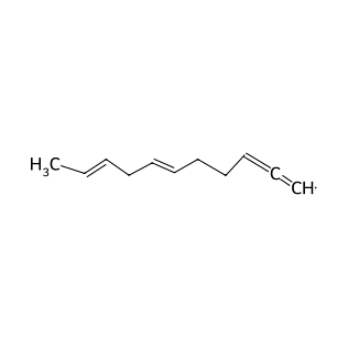 [CH]=C=CCCC=CCC=CC